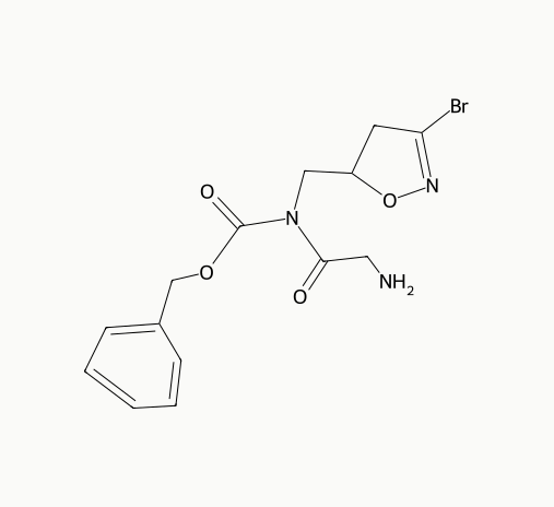 NCC(=O)N(CC1CC(Br)=NO1)C(=O)OCc1ccccc1